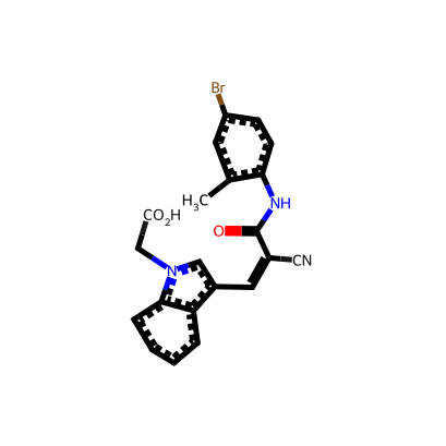 Cc1cc(Br)ccc1NC(=O)C(C#N)=Cc1cn(CC(=O)O)c2ccccc12